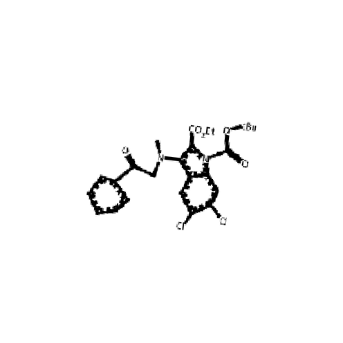 CCOC(=O)c1c(N(C)CC(=O)c2ccccc2)c2cc(Cl)c(Cl)cc2n1C(=O)OC(C)(C)C